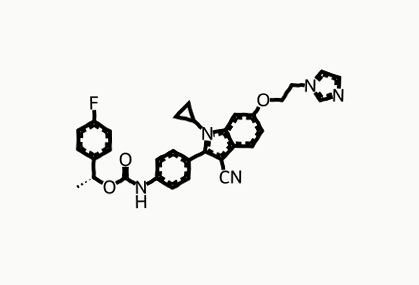 C[C@@H](OC(=O)Nc1ccc(-c2c(C#N)c3ccc(OCCn4ccnc4)cc3n2C2CC2)cc1)c1ccc(F)cc1